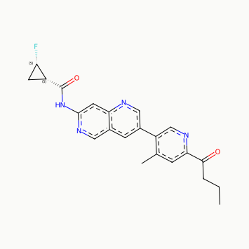 CCCC(=O)c1cc(C)c(-c2cnc3cc(NC(=O)[C@@H]4C[C@@H]4F)ncc3c2)cn1